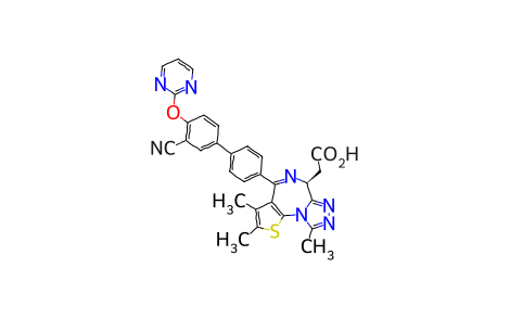 Cc1sc2c(c1C)C(c1ccc(-c3ccc(Oc4ncccn4)c(C#N)c3)cc1)=N[C@@H](CC(=O)O)c1nnc(C)n1-2